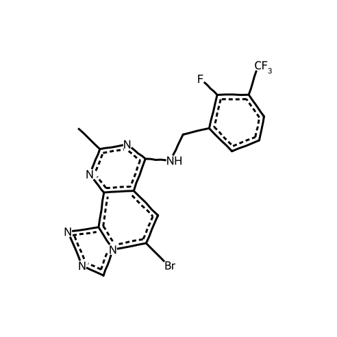 Cc1nc(NCc2cccc(C(F)(F)F)c2F)c2cc(Br)n3cnnc3c2n1